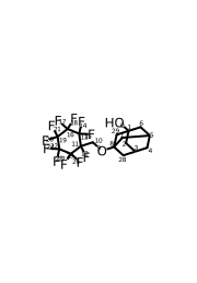 OC12CC3CC(C1)CC(OCC1(F)C(F)(F)C(F)(F)C(F)(F)C(F)(F)C1(F)F)(C3)C2